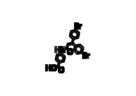 O=C(C=C(c1ccc(Br)cc1)c1ccc(Br)cc1)Nc1ccc(C(=O)O)cc1